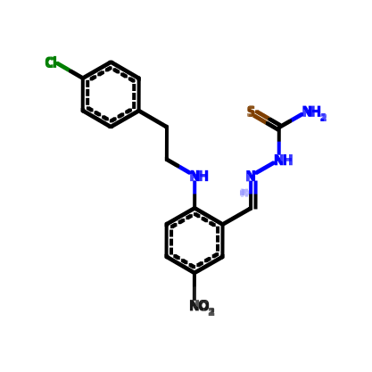 NC(=S)N/N=C/c1cc([N+](=O)[O-])ccc1NCCc1ccc(Cl)cc1